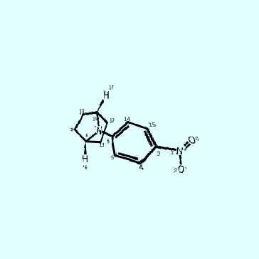 O=[N+]([O-])c1ccc(N2[C@H]3CC[C@@H]2CC3)cc1